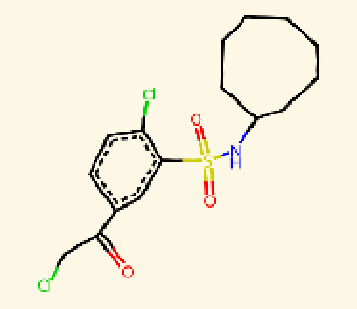 O=C(CCl)c1ccc(Cl)c(S(=O)(=O)NC2CCCCCCC2)c1